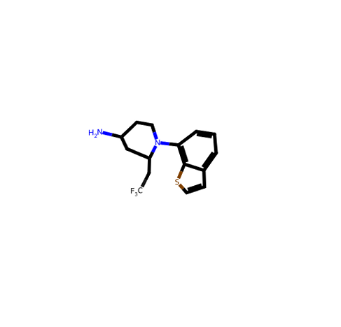 NC1CCN(c2cccc3ccsc23)C(CC(F)(F)F)C1